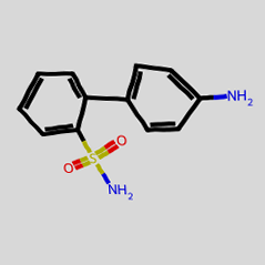 Nc1ccc(-c2ccccc2S(N)(=O)=O)cc1